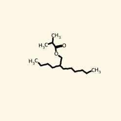 CCCCCCC(CCCC)COC(=O)C(C)C